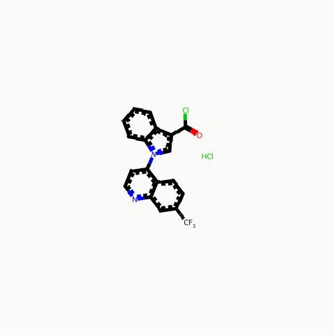 Cl.O=C(Cl)c1cn(-c2ccnc3cc(C(F)(F)F)ccc23)c2ccccc12